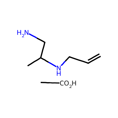 C=CCNC(C)CN.CC(=O)O